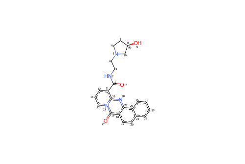 O=C(NCCN1CC[C@@H](O)C1)c1cccn2c(=O)c3ccc4ccccc4c3nc12